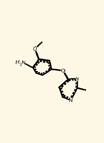 COc1cc(Oc2ccnc(C)n2)ccc1N